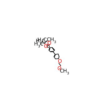 COCCOC1CC=C(c2ccc(B3OC(C)(C)C(C)(C)O3)cc2)CC1